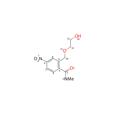 CNC(=O)c1ccc([N+](=O)[O-])cc1COCCO